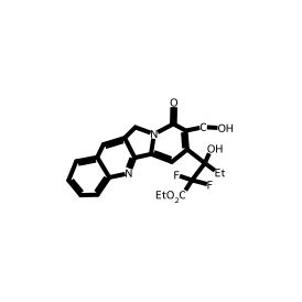 CCOC(=O)C(F)(F)C(O)(CC)c1cc2n(c(=O)c1CO)Cc1cc3ccccc3nc1-2